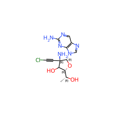 C[C@@H](O)[C@H]1O[C@@H](n2cnc3cnc(N)nc32)[C@@](N)(C#CCl)C1O